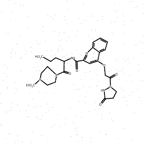 CCOC(=O)N1CCN(C(=O)C(CCC(=O)O)NC(=O)c2cc(OCC(=O)N3CCC(=O)N3)c3ccccc3n2)CC1